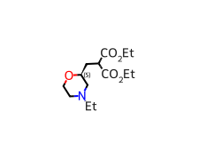 CCOC(=O)C(C[C@H]1CN(CC)CCO1)C(=O)OCC